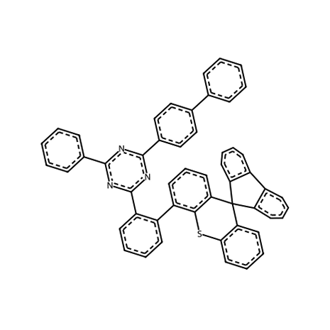 c1ccc(-c2ccc(-c3nc(-c4ccccc4)nc(-c4ccccc4-c4cccc5c4Sc4ccccc4C54c5ccccc5-c5ccccc54)n3)cc2)cc1